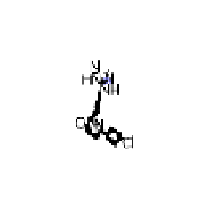 C/N=C(\NC#N)NCCCCCN1N=C(c2ccc(Cl)cc2)CCC1=O